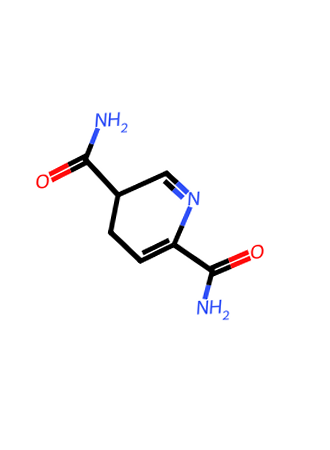 NC(=O)C1=CCC(C(N)=O)C=N1